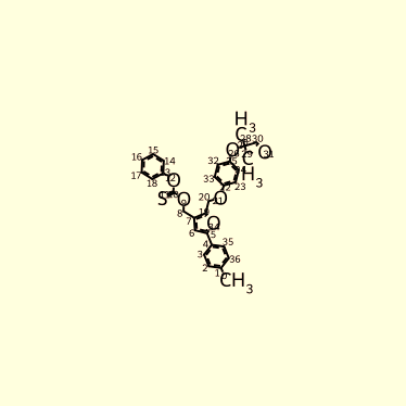 Cc1ccc(-c2cc(COC(=S)Oc3ccccc3)c(COc3ccc(OC(C)(C)C=O)cc3)o2)cc1